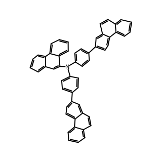 c1ccc2c(c1)ccc1cc(-c3ccc(N(c4ccc(-c5ccc6c(ccc7ccccc76)c5)cc4)c4cc5ccccc5c5ccccc45)cc3)ccc12